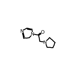 O=C(CN1CCCC1)N1C=CN=CC1